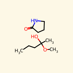 CCCC(C)(O)OC.O=C1CCCN1